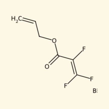 C=CCOC(=O)C(F)=C(F)F.[B]